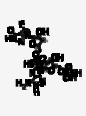 C[C@H]1[C@@H](O)[C@H](n2cc(F)c3c(=O)[nH]cnc32)O[C@@H]1COP(=O)(S)O[C@@H]1[C@H](O)[C@@H](COP(=O)(O)S)O[C@H]1n1cnc2c1N=CNC2N